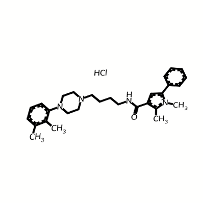 Cc1cccc(N2CCN(CCCCNC(=O)c3cc(-c4ccccc4)n(C)c3C)CC2)c1C.Cl